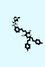 Cn1cnc(S(=O)(=O)Nc2cccc(CCCC3=C(O)CC(CCc4ccc(F)cc4)(CCc4ccc(F)cc4)OC3=O)c2)c1